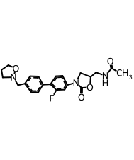 CC(=O)NCC1CN(c2ccc(-c3ccc(CN4CCCO4)cc3)c(F)c2)C(=O)O1